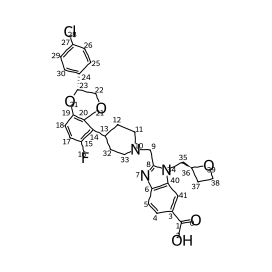 O=C(O)c1ccc2nc(CN3CCC(c4c(F)ccc5c4OC[C@@H](c4ccc(Cl)cc4)O5)CC3)n(C[C@@H]3CCO3)c2c1